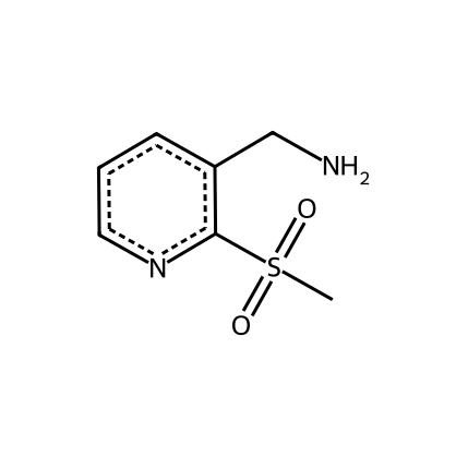 CS(=O)(=O)c1ncccc1CN